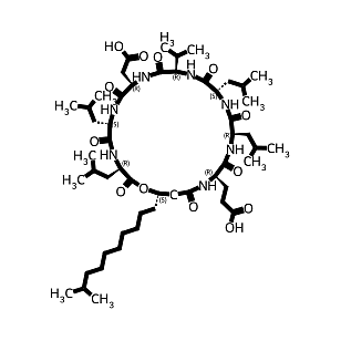 CC(C)CCCCCCCC[C@H]1CC(=O)N[C@H](CCC(=O)O)C(=O)N[C@H](CC(C)C)C(=O)N[C@@H](CC(C)C)C(=O)N[C@H](C(C)C)C(=O)N[C@H](CC(=O)O)C(=O)N[C@@H](CC(C)C)C(=O)N[C@H](CC(C)C)C(=O)O1